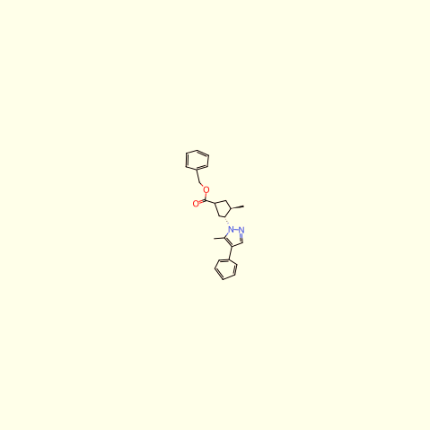 Cc1c(-c2ccccc2)cnn1[C@@H]1CC(C(=O)OCc2ccccc2)C[C@H]1C